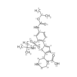 CC(C)OC(=O)Nc1ccc(-c2cnc(C3CNCCN3C(=O)O)s2)c(S(=O)(=O)NC(C)(C)C)c1